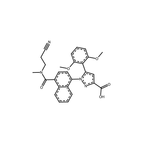 COc1cccc(OC)c1-c1cc(C(=O)O)nn1-c1ccc(C(=O)N(C)CCC#N)c2ccccc12